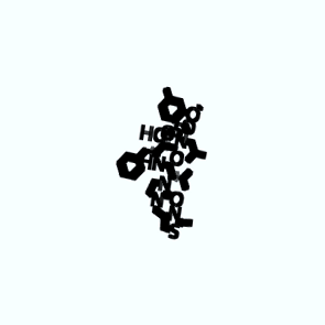 COc1cc(C)ccc1S(=O)(=O)N(CC(C)C)C[C@@H](O)[C@H](Cc1ccccc1)NC(=O)[C@H](C(C)C)N1CCN(Cc2csc(C)n2)C1=O